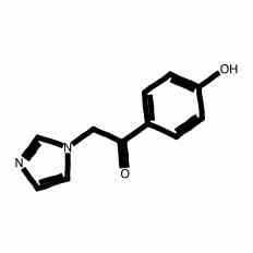 O=C(Cn1ccnc1)c1ccc(O)cc1